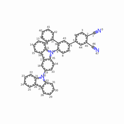 N#Cc1ccc(-c2ccc(-n3c4ccccc4c4cc(-n5c6ccccc6c6ccccc65)ccc43)c(-c3ccccc3)c2)cc1C#N